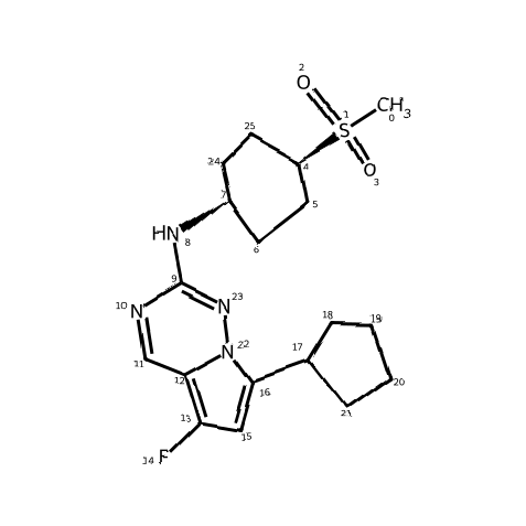 CS(=O)(=O)[C@H]1CC[C@@H](Nc2ncc3c(F)cc(C4CCCC4)n3n2)CC1